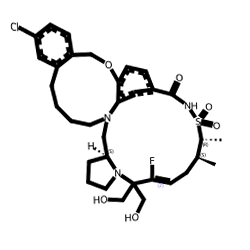 C[C@@H]1[C@@H](C)C/C=C(\F)C(CO)(CO)N2CCC[C@H]2CN2CCCCc3cc(Cl)ccc3COc3ccc(cc32)C(=O)NS1(=O)=O